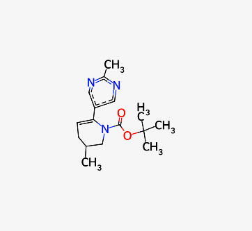 Cc1ncc(C2=CCC(C)CN2C(=O)OC(C)(C)C)cn1